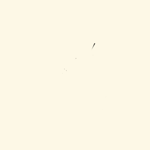 C[C@@H](CCC1CCC1)[C@H](N)CC(=O)O